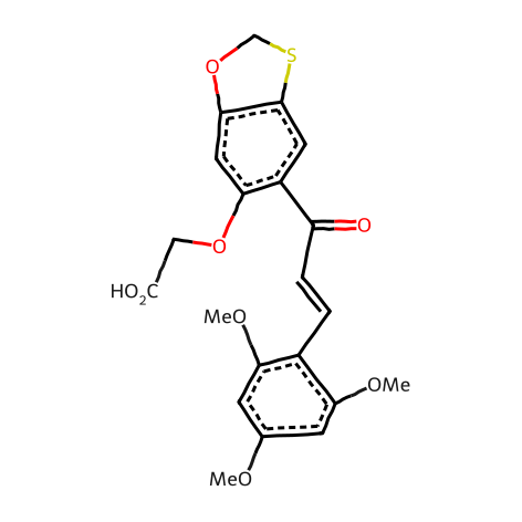 COc1cc(OC)c(C=CC(=O)c2cc3c(cc2OCC(=O)O)OCS3)c(OC)c1